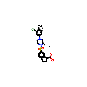 Cc1ccc(N2CCN(S(=O)(=O)c3ccc4c(c3)C(C(=O)O)CC4)[C@@H](C)C2)cc1Cl